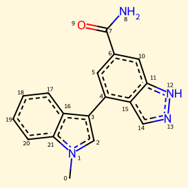 Cn1cc(-c2cc(C(N)=O)cc3[nH]ncc23)c2ccccc21